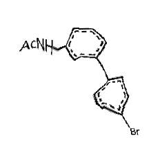 CC(=O)Nc1cccc(-c2ccc(Br)cc2)c1